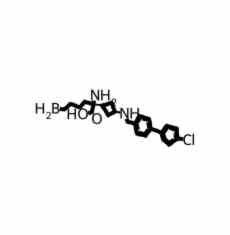 BCCCCC(N)(C(=O)O)[C@H]1C[C@@H](NCc2ccc(-c3ccc(Cl)cc3)cc2)C1